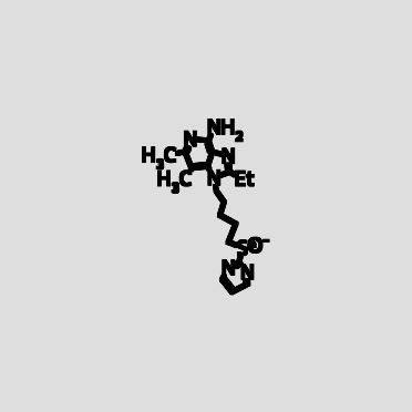 CCc1nc2c(N)nc(C)c(C)c2n1CCCCC[S+]([O-])c1ncccn1